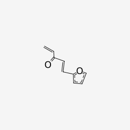 C=CC(=O)C=Cc1ccco1